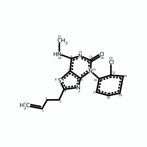 C=CCCc1nc2c(s1)c(NC)nc(=O)n2-c1ccccc1Cl